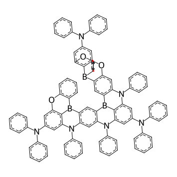 c1ccc(N(c2ccccc2)c2cc3c4c(c2)Oc2cc5c(cc2B4c2ccccc2O3)B2c3cc4c(cc3N(c3ccccc3)c3cc(N(c6ccccc6)c6ccccc6)cc(c32)N5c2ccccc2)N(c2ccccc2)c2cc(N(c3ccccc3)c3ccccc3)cc3c2B4c2ccccc2O3)cc1